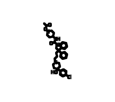 CC(=O)ON1CCC(NC(=O)NCC(CCCN2CCC(O)(c3ccc(Cl)cc3)CC2)(c2ccccc2)c2ccccc2)CC1